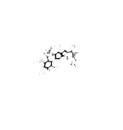 CC(C)c1cc(-c2nnc(O)n2-c2ccc3c(c2)cc(C(=O)N(C)CCN(C)C)n3C)c(O)cc1O